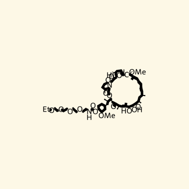 CCOCCOCCOCCOCCNC(=O)O[C@@H]1CC[C@@H](C[C@@H](C)[C@@H]2CC(=O)[C@H](C)/C=C(\C)[C@@H](O)[C@@H](O)C(=O)[C@H](C)C[C@H](C)/C=C/C=C/C=C(\C)[C@@H](OC)C[C@@H]3CC[C@@H](C)[C@@](O)(O3)C(=O)C(=O)N3CCCC[C@H]3C(=O)O2)C[C@H]1OC